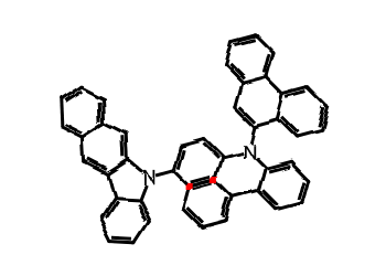 c1ccc(-c2ccccc2N(c2ccc(-n3c4ccccc4c4cc5ccccc5cc43)cc2)c2cc3ccccc3c3ccccc23)cc1